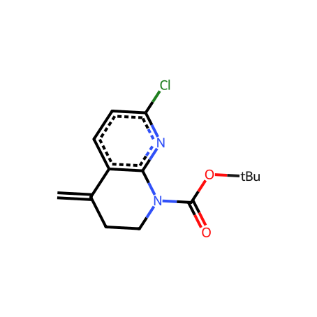 C=C1CCN(C(=O)OC(C)(C)C)c2nc(Cl)ccc21